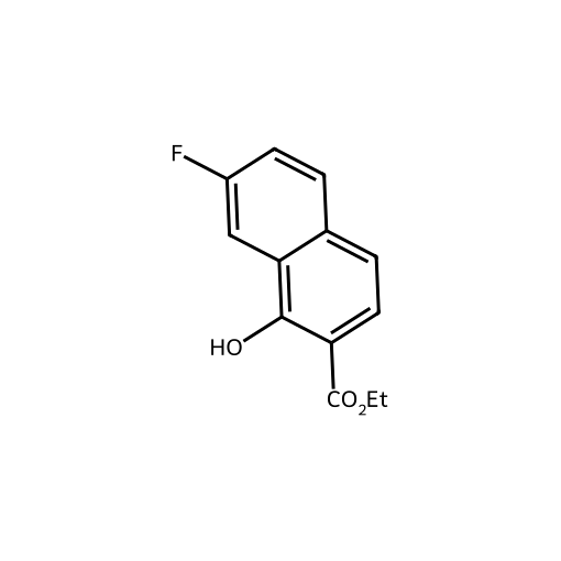 CCOC(=O)c1ccc2ccc(F)cc2c1O